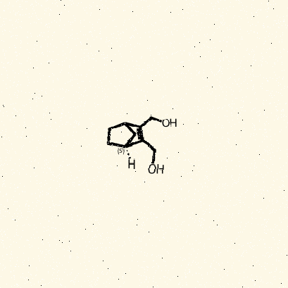 OCC1=C(CO)[C@H]2CCC1C2